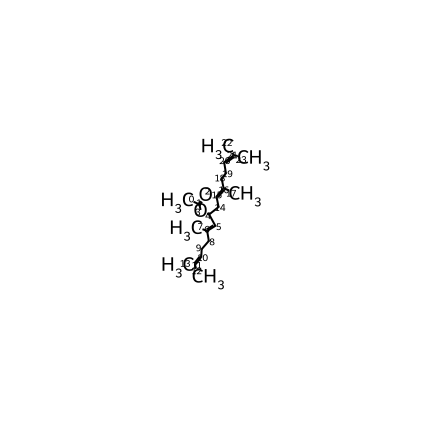 CC(=O)OC(/C=C(\C)CCC=C(C)C)C/C=C(\C)CCC=C(C)C